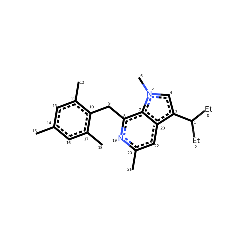 CCC(CC)c1cn(C)c2c(Cc3c(C)cc(C)cc3C)nc(C)cc12